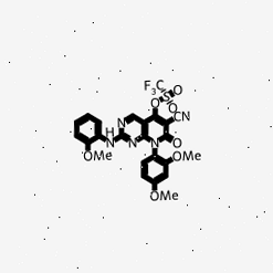 COc1ccc(-n2c(=O)c(C#N)c(OS(=O)(=O)C(F)(F)F)c3cnc(Nc4ccccc4OC)nc32)c(OC)c1